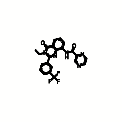 CCn1c(-c2cccc(C(F)(F)F)c2)nc2c(NC(=O)c3cnccn3)cccc2c1=O